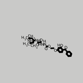 CC1(C)CC(NC(=O)C(=O)NNC(=O)OCCOc2ccc(C(=O)c3ccccc3)c(O)c2)CC(C)(C)N1